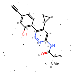 C#Cc1ccc(-c2nnc(NC(=O)[C@H](C)NC)cc2C2CC2)c(O)c1